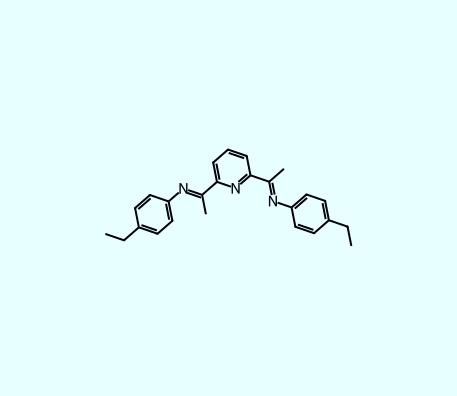 CCc1ccc(/N=C(\C)c2cccc(/C(C)=N/c3ccc(CC)cc3)n2)cc1